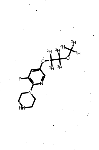 [2H]C([2H])([2H])OC([2H])([2H])C([2H])([2H])Oc1cnc(N2CCNCC2)c(F)c1